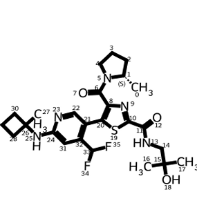 C[C@H]1CCCN1C(=O)c1nc(C(=O)NCC(C)(C)O)sc1-c1cnc(NC2(C)CCC2)cc1C(F)F